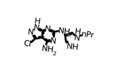 CCCN/C=C(\C=N)Nc1nc(N)c2c(Cl)n[nH]c2n1